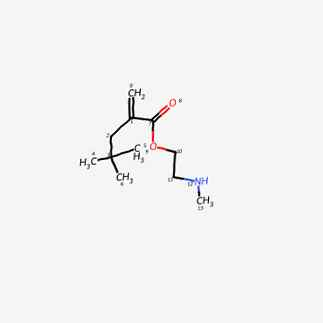 C=C(CC(C)(C)C)C(=O)OCCNC